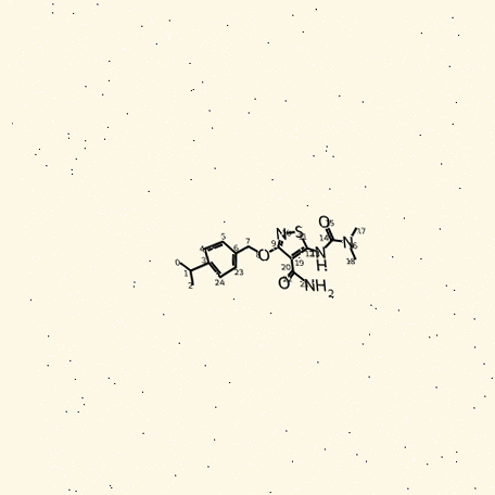 CC(C)c1ccc(COc2nsc(NC(=O)N(C)C)c2C(N)=O)cc1